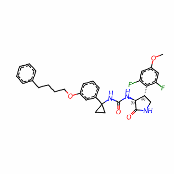 COc1cc(F)c([C@@H]2CNC(=O)[C@H]2NC(=O)NC2(c3cccc(OCCCCc4ccccc4)c3)CC2)c(F)c1